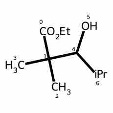 CCOC(=O)C(C)(C)C(O)C(C)C